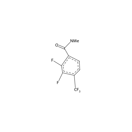 CNC(=O)c1ccc(C(F)(F)F)c(F)c1F